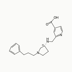 O=C(O)c1ccnc(CN[C@@H]2CCN(CCCc3ccccc3)C2)c1